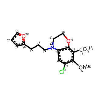 COc1c(Cl)cc2c(c1C(=O)O)OCCN2CCCc1ccco1